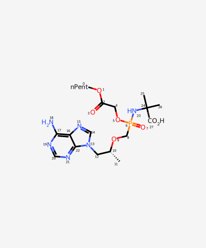 CCCCCOC(=O)COP(=O)(CO[C@H](C)Cn1cnc2c(N)ncnc21)NC(C)(C)C(=O)O